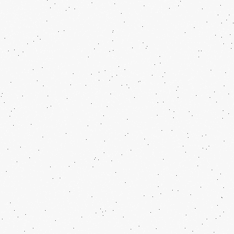 O=C(Oc1ccccc1)c1cc(F)c(O)c(F)c1Cl